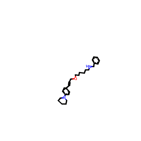 C(#Cc1ccc(N2CCCCC2)cc1)COCCCCCCNCc1ccccc1